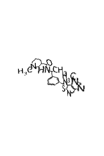 C[C@H](NC(=O)C1CCCN(C)C1)c1cccc(-c2nc3c(ncc4ncn(C)c43)s2)c1